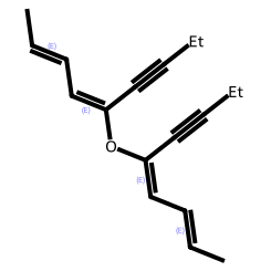 C/C=C/C=C(\C#CCC)O/C(C#CCC)=C/C=C/C